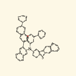 c1ccc(-c2cccc(N(c3ccc4sc5cc6ccccc6cc5c4c3)c3cc4ccccc4cc3-c3ccc4cc(-c5ccccc5)ccc4c3)c2)cc1